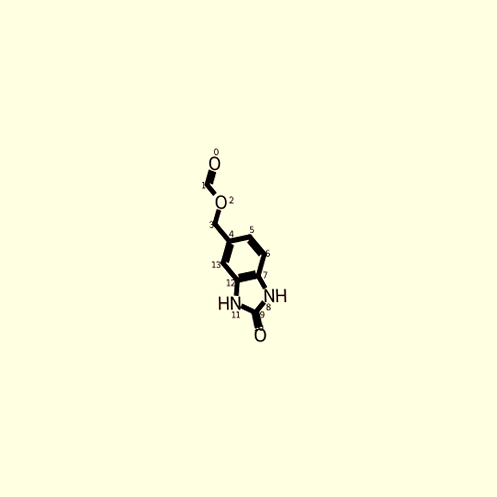 O=COCc1ccc2[nH]c(=O)[nH]c2c1